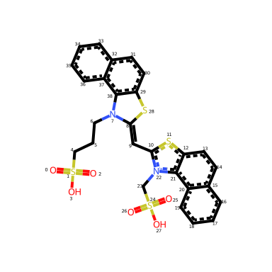 O=S(=O)(O)CCCN1C(=Cc2sc3ccc4ccccc4c3[n+]2CS(=O)(=O)O)Sc2ccc3ccccc3c21